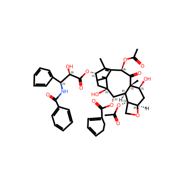 CC(=O)O[C@H]1C(=O)[C@@]2(C)[C@H]([C@H](OC(=O)C3=CC=CCC3)[C@]3(O)C[C@H](OC(=O)[C@H](O)[C@@H](NC(=O)c4ccccc4)c4ccccc4)C(C)=C1C3(C)C)[C@]1(OC(C)=O)CO[C@@H]1C[C@@H]2O